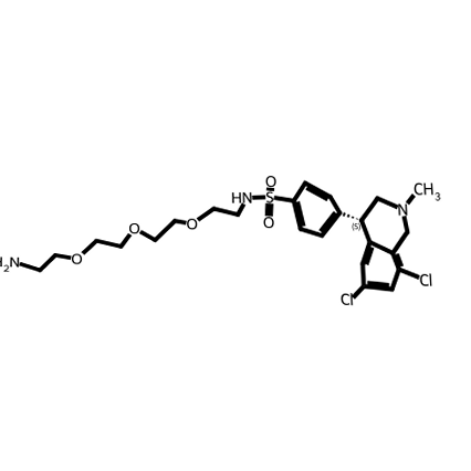 CN1Cc2c(Cl)cc(Cl)cc2[C@H](c2ccc(S(=O)(=O)NCCOCCOCCOCCN)cc2)C1